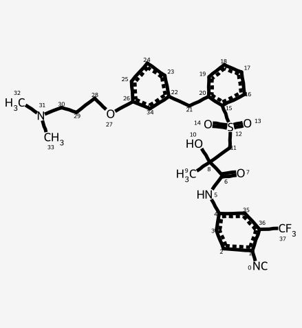 [C-]#[N+]c1ccc(NC(=O)C(C)(O)CS(=O)(=O)c2ccccc2Cc2cccc(OCCCN(C)C)c2)cc1C(F)(F)F